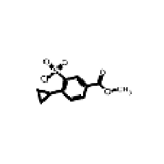 COC(=O)c1ccc(C2CC2)c(S(=O)(=O)Cl)c1